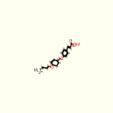 C=CCCOC1CCC(COc2ccc(/C=C/C(=O)O)cc2)CC1